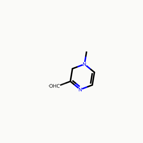 CN1C=CN=C([C]=O)C1